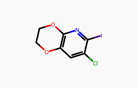 Clc1cc2c(nc1I)OCCO2